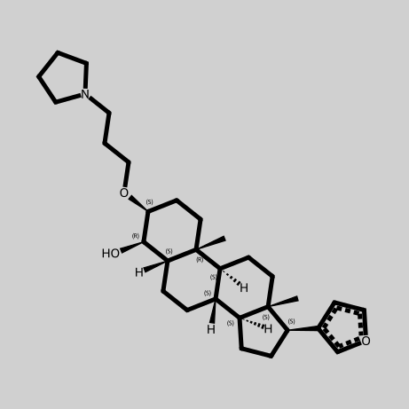 C[C@]12CC[C@H](OCCCN3CCCC3)[C@H](O)[C@H]1CC[C@@H]1[C@@H]2CC[C@]2(C)[C@@H](c3ccoc3)CC[C@@H]12